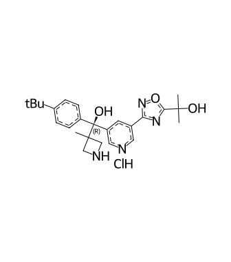 CC(C)(C)c1ccc([C@](O)(c2cncc(-c3noc(C(C)(C)O)n3)c2)C2(C)CNC2)cc1.Cl